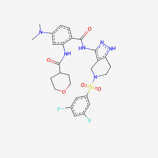 CN(C)c1ccc(C(=O)Nc2n[nH]c3c2CN(S(=O)(=O)c2cc(F)cc(F)c2)CC3)c(NC(=O)C2CCOCC2)c1